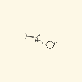 CC(C)C#CC(=O)NCCC1CCCN(C)CC1